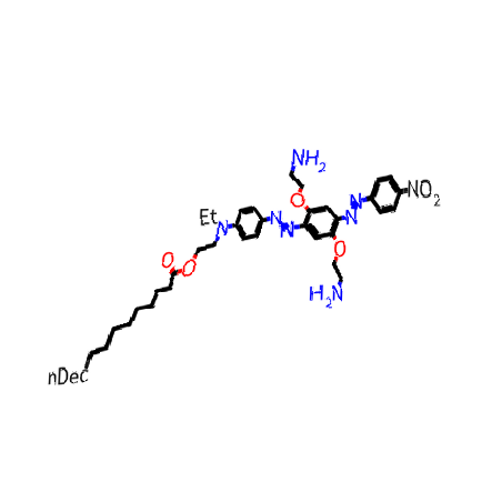 CCCCCCCCCCCCCCCCCCC(=O)OCCN(CC)c1ccc(/N=N/c2cc(OCCN)c(/N=N/c3ccc([N+](=O)[O-])cc3)cc2OCCN)cc1